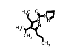 CCCc1nn(C(=O)n2cccn2)c(CC)c1C(C)C